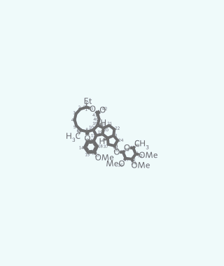 CC[C@H]1CCCC[C@@H](C)C(=O)C2C(c3cccc(OC)c3)C3C(CCC4C[C@@H](OC5OC(C)C(OC)C(OC)C5OC)C[C@H]43)[C@@H]2CC(=O)O1